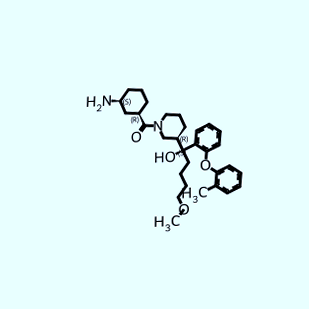 COCCCC[C@@](O)(c1ccccc1Oc1ccccc1C)[C@@H]1CCCN(C(=O)[C@@H]2CCC[C@H](N)C2)C1